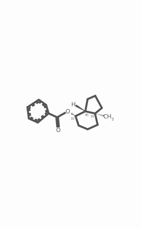 C[C@]12CCC[C@H](OC(=O)c3ccccc3)[C@@H]1CCC2